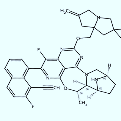 C#Cc1c(F)ccc2cccc(-c3nc4c5c(nc(OCC67CC(=C)CN6CC6(CC6)C7)nc5c3F)N3C[C@H]5CC[C@H](N5)[C@H]3[C@H](C)O4)c12